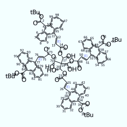 CC(C)(C)OC(=O)c1c2ccccc2c(/C=C/C(=O)OC(O)C(C(O)OC(=O)/C=C/c2c3ccccc3c(C(=O)OC(C)(C)C)c3ccccc23)(C(O)OC(=O)/C=C/c2c3ccccc3c(C(=O)OC(C)(C)C)c3ccccc23)C(O)OC(=O)/C=C/c2c3ccccc3c(C(=O)OC(C)(C)C)c3ccccc23)c2ccccc12